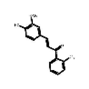 COc1cc(C=CC(=O)c2ccccc2C(F)(F)F)ccc1O